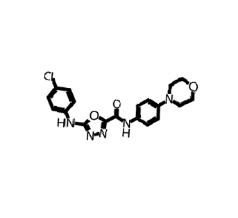 O=C(Nc1ccc(N2CCOCC2)cc1)c1nnc(Nc2ccc(Cl)cc2)o1